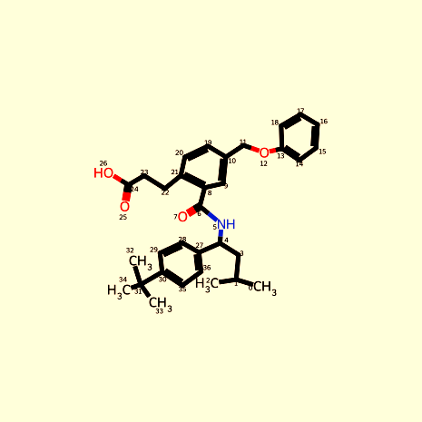 CC(C)CC(NC(=O)c1cc(COc2ccccc2)ccc1CCC(=O)O)c1ccc(C(C)(C)C)cc1